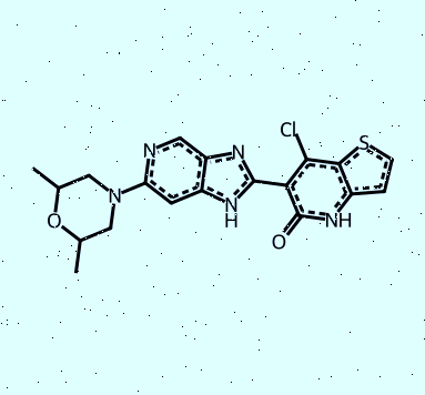 CC1CN(c2cc3[nH]c(-c4c(Cl)c5sccc5[nH]c4=O)nc3cn2)CC(C)O1